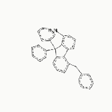 Nc1cccc2c1C(c1ccccc1)(c1ccccc1)c1cccc(Cc3ccccc3)c1-2